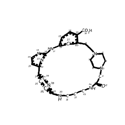 O=C1CN2CCN(CC2)Cc2cc(ccc2C(=O)O)Nc2nccc(n2)-c2ccc(nc2)NCCCN1